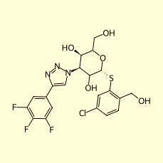 OCc1ccc(Cl)cc1S[C@H]1OC(CO)[C@H](O)[C@H](n2cc(-c3cc(F)c(F)c(F)c3)nn2)C1O